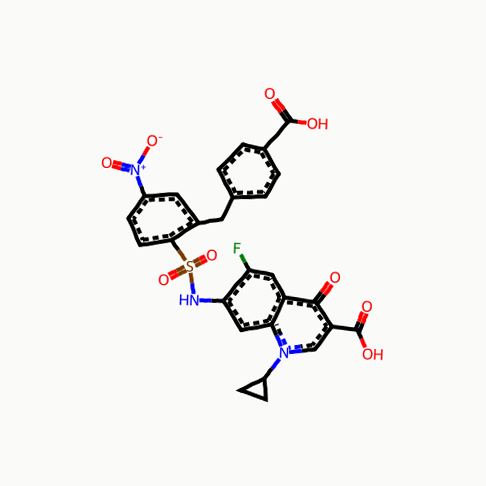 O=C(O)c1ccc(Cc2cc([N+](=O)[O-])ccc2S(=O)(=O)Nc2cc3c(cc2F)c(=O)c(C(=O)O)cn3C2CC2)cc1